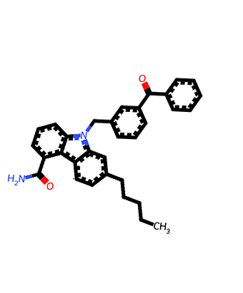 CCCCCc1c[c]c2c3c(C(N)=O)cccc3n(Cc3cccc(C(=O)c4ccccc4)c3)c2c1